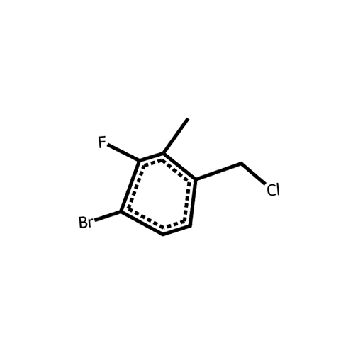 Cc1c(CCl)ccc(Br)c1F